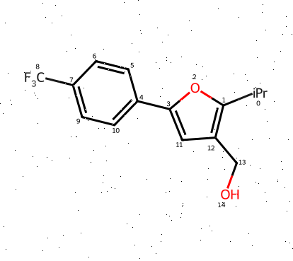 CC(C)c1oc(-c2ccc(C(F)(F)F)cc2)cc1CO